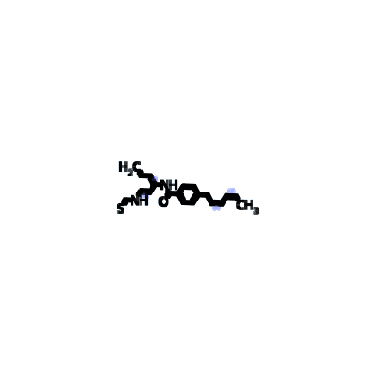 C=C/C=C(\C=C\NC=S)NC(=O)c1ccc(C/C=C\C=C/C)cc1